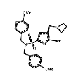 COc1ccc(CN(Cc2ccc(OC)cc2)S(=O)(=O)c2cc(CN3CCC3)n(C(C)C)n2)cc1